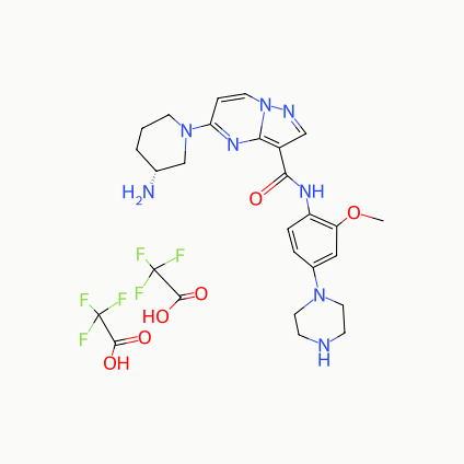 COc1cc(N2CCNCC2)ccc1NC(=O)c1cnn2ccc(N3CCC[C@@H](N)C3)nc12.O=C(O)C(F)(F)F.O=C(O)C(F)(F)F